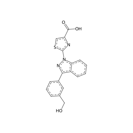 O=C(O)c1csc(-n2nc(-c3cccc(CO)c3)c3ccccc32)n1